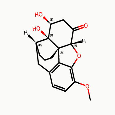 COc1ccc2c3c1O[C@H]1C(=O)C[C@H](O)[C@@]4(O)[C@H](CCC[C@]314)C2